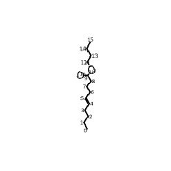 CCCCC=CCCCC(=O)OCCCC